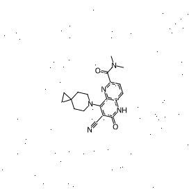 CN(C)C(=O)c1ccc2[nH]c(=O)c(C#N)c(N3CCC4(CC3)CC4)c2n1